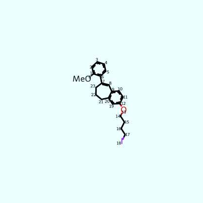 COc1ccccc1C1=Cc2ccc(OCCCCI)cc2CCC1